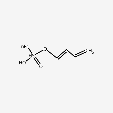 C=CC=CO[SH](=O)(O)CCC